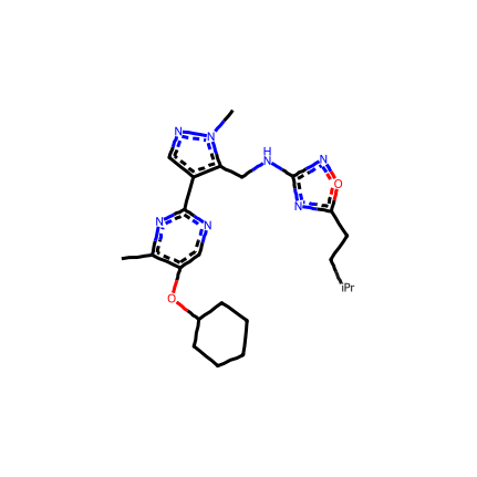 Cc1nc(-c2cnn(C)c2CNc2noc(CCC(C)C)n2)ncc1OC1CCCCC1